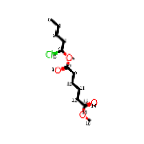 CCCCC(Cl)OC(=O)CCCCC(=O)OC